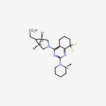 C[C@H]1CCCCN1c1nc(N2C[C@@H]3C(CC(=O)O)[C@@H]3C2)c2c(n1)C(F)(F)CCC2